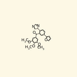 COc1cc(C(=O)c2cc(-c3ccco3)ccc2C2C=NC=N2)cc(OC)c1OC